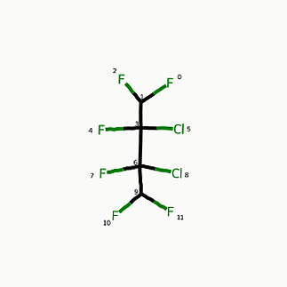 FC(F)C(F)(Cl)C(F)(Cl)C(F)F